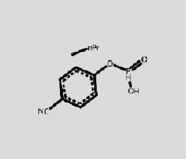 CCCC.N#Cc1ccc(O[PH](=O)O)cc1